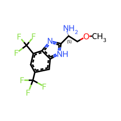 COC[C@@H](N)c1nc2c(C(F)(F)F)cc(C(F)(F)F)cc2[nH]1